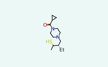 CC[C@@H](CN1CCN(C(=O)C2CC2)CC1)C(C)S